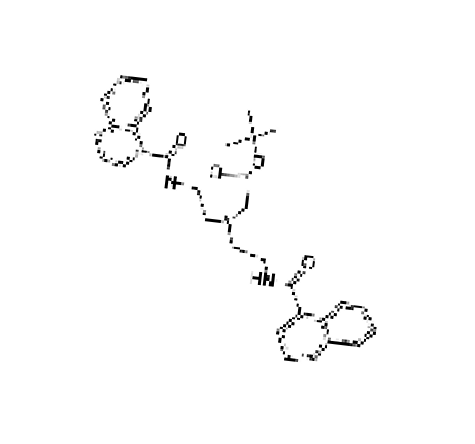 CC(C)(C)OC(=O)CN(CCNC(=O)c1cccc2ccccc12)CCNC(=O)c1cccc2ccccc12